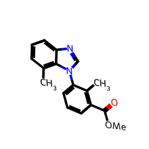 COC(=O)c1cccc(-n2cnc3cccc(C)c32)c1C